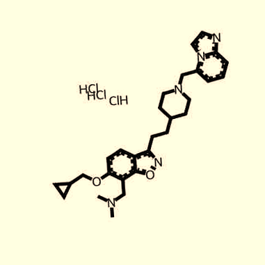 CN(C)Cc1c(OCC2CC2)ccc2c(CCC3CCN(Cc4cccc5nccn45)CC3)noc12.Cl.Cl.Cl